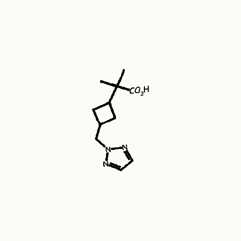 CC(C)(C(=O)O)C1CC(Cn2nccn2)C1